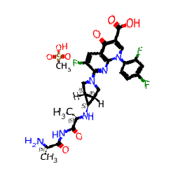 CS(=O)(=O)O.C[C@H](N)C(=O)NC(=O)[C@H](C)N[C@H]1[C@@H]2CN(c3nc4c(cc3F)c(=O)c(C(=O)O)cn4-c3ccc(F)cc3F)C[C@@H]21